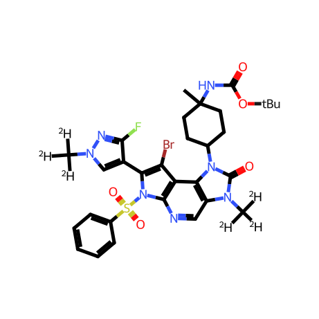 [2H]C([2H])([2H])n1cc(-c2c(Br)c3c(ncc4c3n(C3CCC(C)(NC(=O)OC(C)(C)C)CC3)c(=O)n4C([2H])([2H])[2H])n2S(=O)(=O)c2ccccc2)c(F)n1